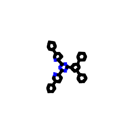 c1ccc(-c2ccc(-c3nc(-c4cc(-c5ccccc5)cc(-c5ccccc5)c4)nc(-c4ccc(-c5ccccc5)cn4)n3)nc2)cc1